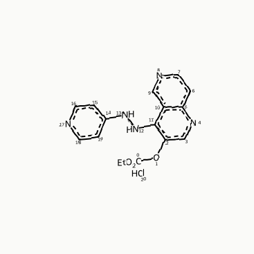 CCOC(=O)Oc1cnc2ccncc2c1NNc1ccncc1.Cl